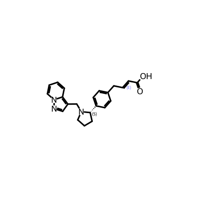 O=C(O)/C=C/Cc1ccc([C@@H]2CCCN2Cc2cnn3ccccc23)cc1